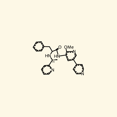 COc1ncc(-c2ccncc2)cc1NC(=O)C(Cc1ccccc1)N[C@@H](C)c1ccccn1